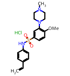 C=Cc1ccc(NS(=O)(=O)c2ccc(OC)c(N3CCN(C)CC3)c2)cc1.Cl